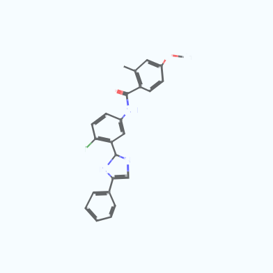 Cc1cc(OC(C)C)ccc1C(=O)Nc1ccc(Cl)c(C2NC=C(c3ccccc3)N2)c1